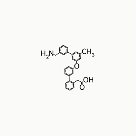 Cc1cc(Oc2cccc(-c3ccccc3CC(=O)O)c2)cc(-c2cccc(CN)c2)c1